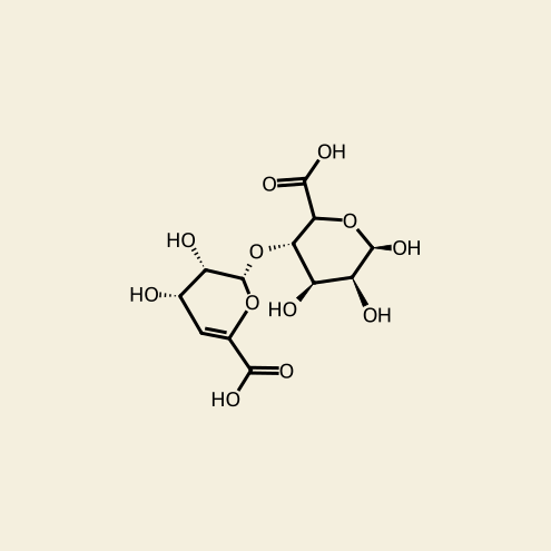 O=C(O)C1=C[C@H](O)[C@H](O)[C@H](O[C@@H]2C(C(=O)O)O[C@@H](O)[C@@H](O)[C@H]2O)O1